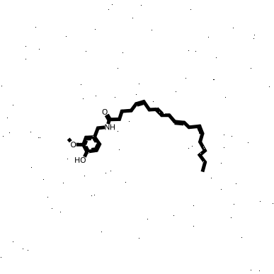 CCCCC/C=C\CC=CCC=CC/C=C\CCCC(=O)NCc1ccc(O)c(OC)c1